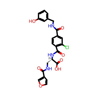 O=C(NCc1cccc(O)c1)c1ccc(C(=O)N[C@@H](CNC(=O)c2ccoc2)C(=O)O)c(Cl)c1